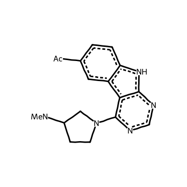 CNC1CCN(c2ncnc3[nH]c4ccc(C(C)=O)cc4c23)C1